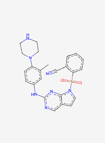 Cc1cc(Nc2ncc3ccn(S(=O)(=O)c4ccccc4C#N)c3n2)ccc1N1CCNCC1